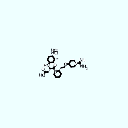 C[C@@H]1CCCC(N[C@@H](CC(=O)O)C(=O)N2CCCC[C@H]2CCOC2CCN(C(=N)N)CC2)C1.Cl.Cl